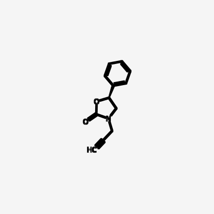 C#CCN1C[C@H](c2ccccc2)OC1=O